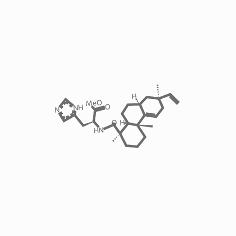 C=C[C@@]1(C)CC=C2[C@@H](CC[C@@H]3[C@](C)(C(=O)N[C@@H](Cc4cnc[nH]4)C(=O)OC)CCC[C@@]23C)C1